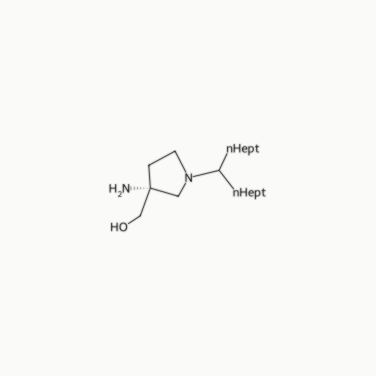 CCCCCCCC(CCCCCCC)N1CC[C@](N)(CO)C1